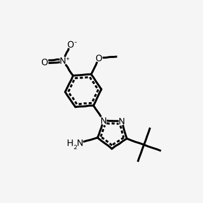 COc1cc(-n2nc(C(C)(C)C)cc2N)ccc1[N+](=O)[O-]